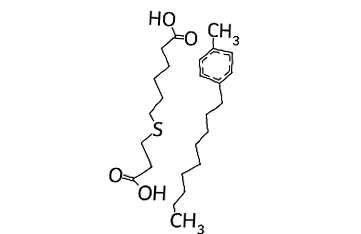 CCCCCCCCCc1ccc(C)cc1.O=C(O)CCCCCSCCC(=O)O